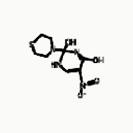 O=[N+]([O-])C1=CNC(O)(N2CCSCC2)N=C1O